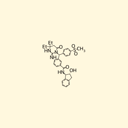 CCC1(CC)CC(=O)N(C(c2ccc(S(C)(=O)=O)cc2)c2cccc(C(=O)N[C@@H]3c4ccccc4C[C@H]3O)c2)C(=N)N1